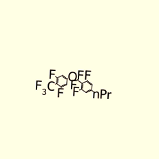 CCCc1cc(F)c(C(F)(F)Oc2cc(F)c(C(F)(F)F)c(F)c2)c(F)c1